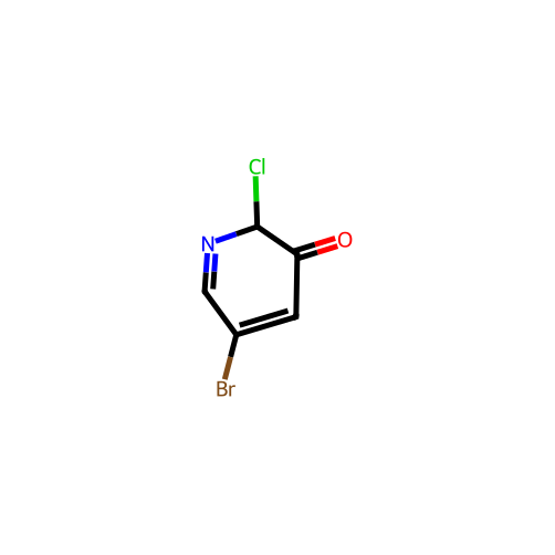 O=C1C=C(Br)C=NC1Cl